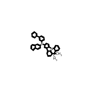 CC1(C)c2ccccc2-n2c3ccc(N(c4cccc(-c5ccccc5)c4)c4ccc5ccccc5c4)cc3c3cccc1c32